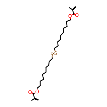 C=C(C)C(=O)OCCCCCCCCCCSSCCCCCCCCCCOC(=O)C(=C)C